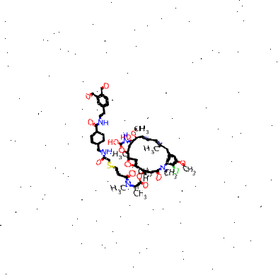 COc1cc2cc(c1Cl)N(C)C(=O)C[C@H](OC(=O)[C@H](C)N(C)C(=O)CCSCC(=O)NCC1CCC(C(=O)NCCc3ccc(C=O)c(C=O)c3)CC1)C1(C)CC(C)(O1)C1CC(O)(NC(O)O1)C(OC)/C=C/C=C(\C)C2